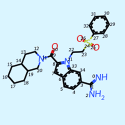 N=C(N)c1ccc2cc(C(=O)N3CCC4CCCCC4C3)n(CCS(=O)(=O)c3ccccc3)c2c1